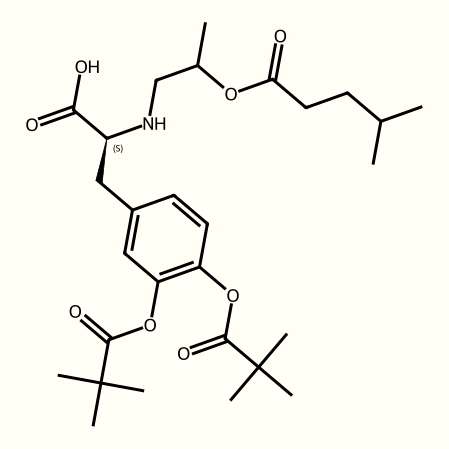 CC(C)CCC(=O)OC(C)CN[C@@H](Cc1ccc(OC(=O)C(C)(C)C)c(OC(=O)C(C)(C)C)c1)C(=O)O